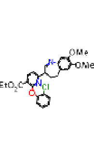 CCOC(=O)c1ccc(C2C=Nc3cc(OC)c(OC)cc3CC2)nc1Oc1ccccc1Cl